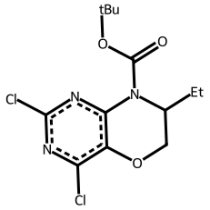 CCC1COc2c(Cl)nc(Cl)nc2N1C(=O)OC(C)(C)C